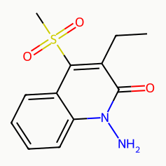 CCc1c(S(C)(=O)=O)c2ccccc2n(N)c1=O